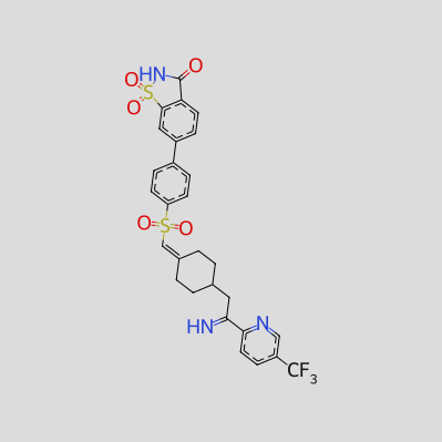 N=C(CC1CCC(=CS(=O)(=O)c2ccc(-c3ccc4c(c3)S(=O)(=O)NC4=O)cc2)CC1)c1ccc(C(F)(F)F)cn1